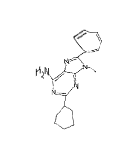 Cn1c(-c2ccccc2)nc2c(N)nc(C3CCCCC3)nc21